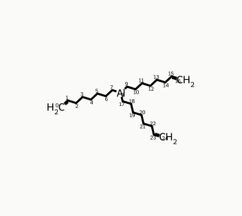 C=CCCCCC[CH2][Al]([CH2]CCCCCC=C)[CH2]CCCCCC=C